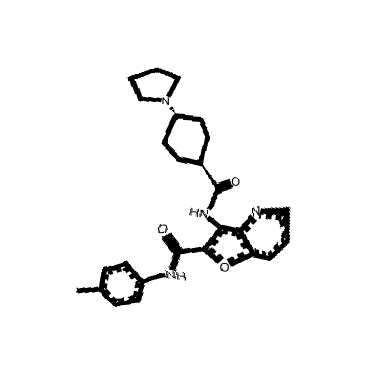 Cc1ccc(NC(=O)c2oc3cccnc3c2NC(=O)[C@H]2CC[C@H](N3CCCC3)CC2)cc1